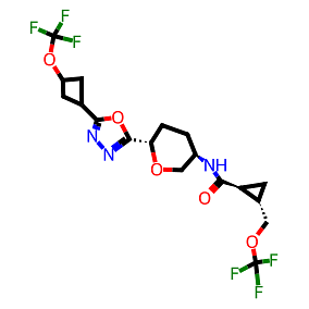 O=C(N[C@@H]1CC[C@@H](c2nnc(C3CC(OC(F)(F)F)C3)o2)OC1)[C@H]1C[C@@H]1COC(F)(F)F